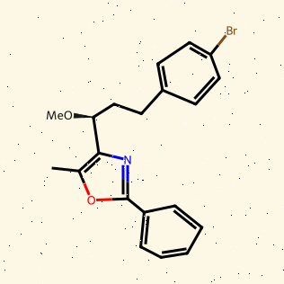 CO[C@@H](CCc1ccc(Br)cc1)c1nc(-c2ccccc2)oc1C